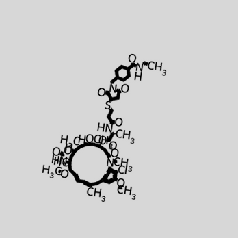 CCNC(=O)C1CCC(CN2C(=O)CC(SCCC(=O)N[C@H](C)C(=O)O[C@H]3CC(=O)N(C)c4cc(cc(OC)c4Cl)C/C(C)=C/C=C/[C@@H](OC)[C@@]4(O)C[C@H](OC(=O)N4)[C@@H](C)[C@@H]4O[C@@]34C)C2=O)CC1